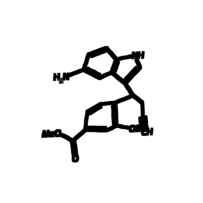 C#CCC(c1ccc(C(=O)OC)cc1OC)c1c[nH]c2ccc(N)cc12